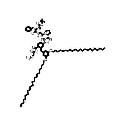 CCCCCCCCCCCCCCCCCCCCCCOc1cc(Cc2cc(NNC(=O)[C@@H]3CCCN3C(=O)CNC(=O)[C@H](Cc3ccccc3)NC(=O)OC(C)(C)C)ccc2C(=O)OC(=O)CN)cc(OCCCCCCCCCCCCCCCCCCCCCC)c1